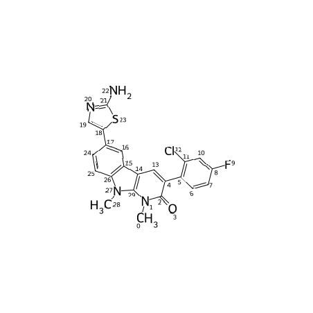 Cn1c(=O)c(-c2ccc(F)cc2Cl)cc2c3cc(-c4cnc(N)s4)ccc3n(C)c21